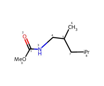 COC(=O)NCC(C)CC(C)C